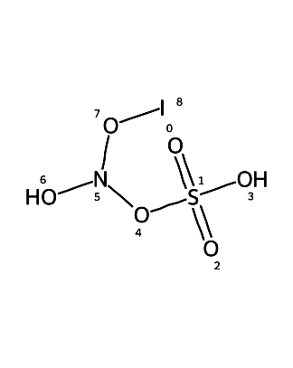 O=S(=O)(O)ON(O)OI